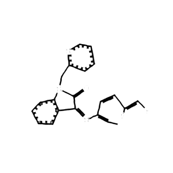 C/C=C(\C=C/C(F)=C/F)/N=C1\C(=O)N(Cc2ccccn2)c2ccccc21